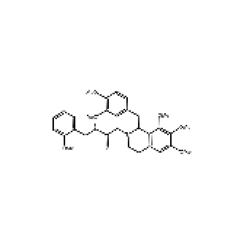 COc1ccccc1CNC(=O)CN1CCc2cc(OC)c(OC)c(OC)c2C1Cc1ccc(OC)c(OC)c1